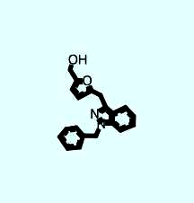 OCc1ccc(Cc2nn(Cc3ccccc3)c3ccccc23)o1